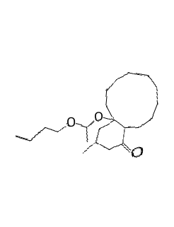 CCCCOC(C)OC12CCCCCCCCCC1C(=O)CC(C)C2